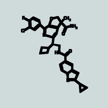 C[C@]1(C(N)=O)COc2c1cc([C@@H](CNC(=O)c1ccn3nc(C4CC4)cc3c1)C1CCC1)nc2-c1ccc(F)c(Cl)c1